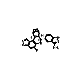 Nc1n[nH]c2ccc([C@@H]3Nc4c(F)cc5[nH]ncc5c4[C@H]4C5CCC(C5)[C@@H]34)cc12